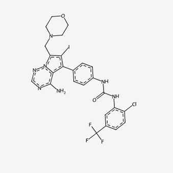 Nc1ncnn2c(CN3CCOCC3)c(I)c(-c3ccc(NC(=O)Nc4cc(C(F)(F)F)ccc4Cl)cc3)c12